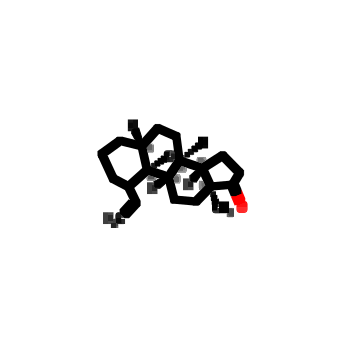 C=CC1CCC[C@@H]2CC[C@@H]3[C@H](CC[C@]4(C)C(=O)CC[C@@H]34)[C@@]12C